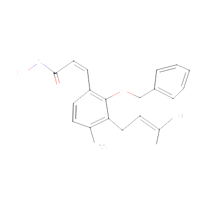 COc1ccc(/C=C\C(=O)NO)c(OCc2ccccc2)c1CC=C(C)C